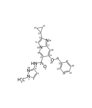 Cn1ccc(NC(=O)c2cn3cc(C4CC4)nc3cc2OCc2ccccc2)n1